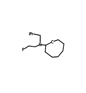 CC(C)CN(CCF)C1CCCCCCC1